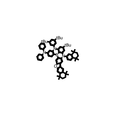 CC(C)(C)c1cc(N2c3cc(N(c4ccccc4)c4ccccc4)ccc3B3c4cc5oc6cc7c(cc6c5cc4N(c4ccc5c(c4)C(C)(C)CCC5(C)C)c4cc(C(C)(C)C)cc2c43)C(C)(C)CCC7(C)C)cc(C(C)(C)C)c1